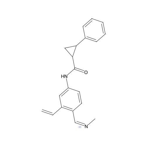 C=Cc1cc(NC(=O)C2CC2c2ccccc2)ccc1/C=N\C